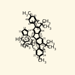 [CH2]=[Zr]([CH2]C(C)C)([CH2]C(C)C)([CH]1C=CC=C1)[CH]1c2cc(-c3ccc(C)cc3)c(C(C)(C)C)cc2-c2cc(C(C)(C)C)c(-c3ccc(C)cc3)cc21